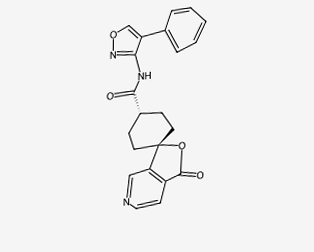 O=C1O[C@]2(CC[C@@H](C(=O)Nc3nocc3-c3ccccc3)CC2)c2cnccc21